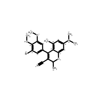 COc1cc(C2=C(C#N)C(N)Oc3cc(N(C)C)cc(C)c32)cc(Br)c1OC